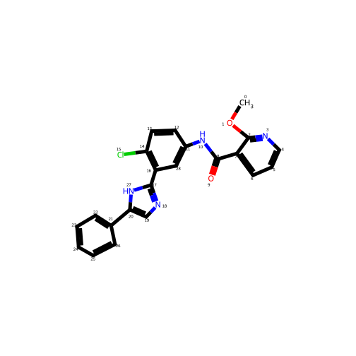 COc1ncccc1C(=O)Nc1ccc(Cl)c(-c2ncc(-c3ccccc3)[nH]2)c1